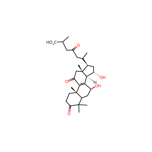 CC(CC(=O)CC(C)[C@H]1C[C@H](O)[C@H]2C3=C(C(=O)C[C@]12C)[C@@]1(C)CCC(=O)C(C)(C)C1C[C@@H]3O)C(=O)O